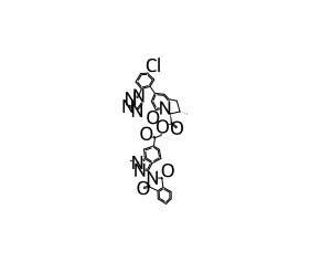 C[C@H]1Cc2cc(-c3cc(Cl)ccc3-n3cnnn3)cc(=O)n2[C@@H]1C(=O)OCC(=O)c1ccc2c(N3C(=O)c4ccccc4C3=O)nn(C)c2c1